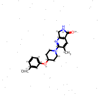 Cc1cc2c(nc1N1CCC(Oc3cccc(C=O)c3)CC1)CNC2=O